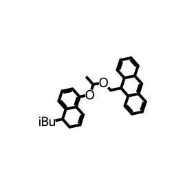 CCC(C)C1CC=Cc2c(OC(C)OCC3C4C=CC=CC4=CC4C=CC=CC43)cccc21